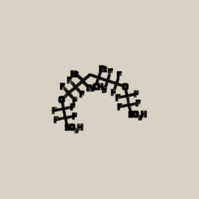 CCC(C)(CC(CC)(CC)C(F)(F)C(F)(F)OC(F)(F)C(F)(F)S(=O)(=O)O)C(F)(F)C(F)(F)OC(F)(F)C(F)(F)S(=O)(=O)O